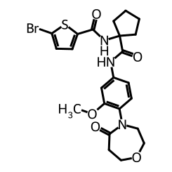 COc1cc(NC(=O)C2(NC(=O)c3ccc(Br)s3)CCCC2)ccc1N1CCOCCC1=O